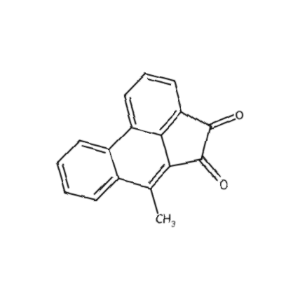 Cc1c2c3c(cccc3c3ccccc13)C(=O)C2=O